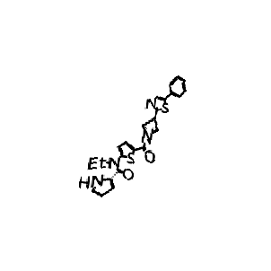 CCN(C(=O)[C@@H]1CCCN1)c1ccc(C(=O)N2CC(c3ncc(-c4ccccc4)s3)C2)s1